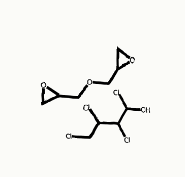 C(OCC1CO1)C1CO1.OC(Cl)C(Cl)C(Cl)CCl